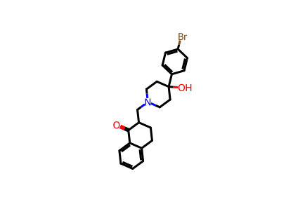 O=C1c2ccccc2CCC1CN1CCC(O)(c2ccc(Br)cc2)CC1